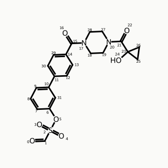 O=CS(=O)(=O)Oc1cccc(-c2ccc(C(=O)N3CCN(C(=O)C4(O)CC4)CC3)cc2)c1